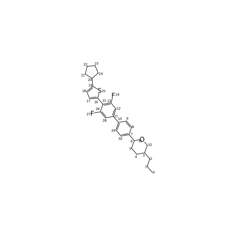 CCCC1CCC(c2ccc(-c3cc(F)c(-c4ccc(C5CCCC5)s4)c(F)c3)cc2)OC1